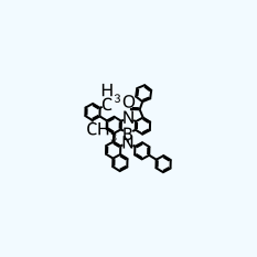 Cc1cccc(C)c1-c1cc2c3c(c1)-n1c4oc5ccccc5c4c4cccc(c41)B3N(c1ccc(-c3ccccc3)cc1)c1c-2ccc2ccccc12